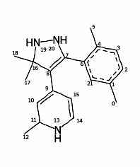 Cc1ccc(C)c(C2=C(C3=CC(C)NC=C3)C(C)(C)NN2)c1